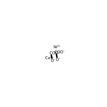 O=C([O-])[O-].O=C([O-])[O-].[Ca+2].[Ni+2]